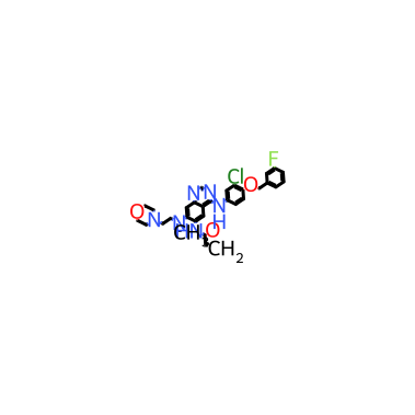 C=CC(=O)Nc1cc2c(Nc3ccc(OCc4cccc(F)c4)c(Cl)c3)ncnc2cc1N(C)CCN1CCOCC1